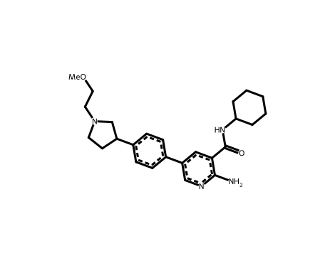 COCCN1CCC(c2ccc(-c3cnc(N)c(C(=O)NC4CCCCC4)c3)cc2)C1